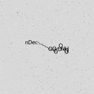 CCCCCCCCCCCCCCCCCCOCC1COC(COC(=O)NCc2ccccn2)O1